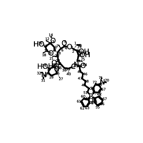 CC[C@H]1OC(=O)[C@H](C)[C@@H](C2C[C@@](C)(OC)[C@@H](O)[C@H](C)O2)[C@H](C)[C@@H](O[C@@H]2O[C@H](C)C[C@H](N(C)C)[C@H]2O)[C@](C)(O)C[C@@H](C)CN(C(=O)CCCCCCC[PH](c2ccccc2)(c2ccccc2)c2ccc(N(C)C)cc2)[C@H](C)[C@@H](O)[C@]1(C)O